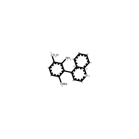 COc1ccc(C(=O)O)c(N)c1-c1ccnc2ccccc12